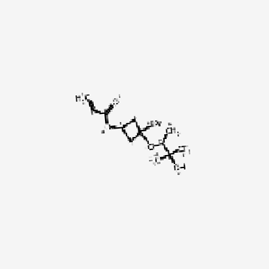 C=CC(=O)OC1CC(OC(C)C(O)(C(F)(F)F)C(F)(F)F)(C(C)C)C1